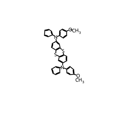 COc1ccc(N(c2ccccc2)c2ccc3c(c2)Sc2ccc(N(c4ccccc4)c4ccc(OC)cc4)cc2S3)cc1